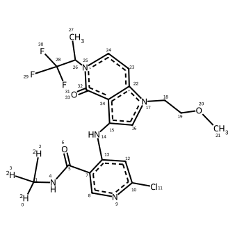 [2H]C([2H])([2H])NC(=O)c1cnc(Cl)cc1Nc1cn(CCOC)c2ccn(C(C)C(F)(F)F)c(=O)c12